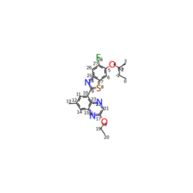 C[CH][C@H](C)Oc1cc2sc(-c3cc(C)cc4nc(OCC)cnc34)nc2cc1F